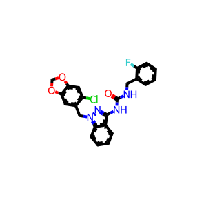 O=C(NCc1ccccc1F)Nc1nn(Cc2cc3c(cc2Cl)OCO3)c2ccccc12